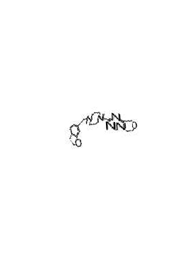 c1cc2c(cc1CN1CCN(c3nc4n(n3)CCOC4)CC1)OCC2